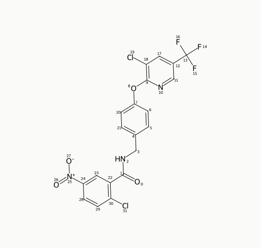 O=C(NCc1ccc(Oc2ncc(C(F)(F)F)cc2Cl)cc1)c1cc([N+](=O)[O-])ccc1Cl